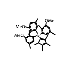 COc1cc(C)cc([Si](C2=C(C)C(C)=C(C)C2C)(c2cc(C)cc(OC)c2C)c2cc(C)cc(OC)c2C)c1C